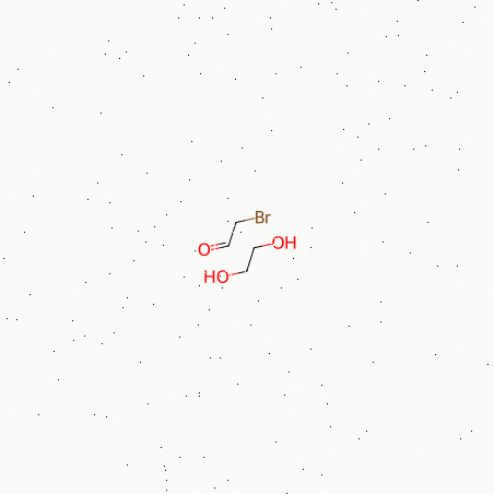 O=CCBr.OCCO